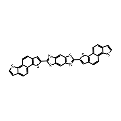 c1cc2ccc3c(ccc4cc(-c5nc6cc7sc(-c8cc9ccc%10c(ccc%11ccsc%11%10)c9s8)nc7cc6s5)sc43)c2s1